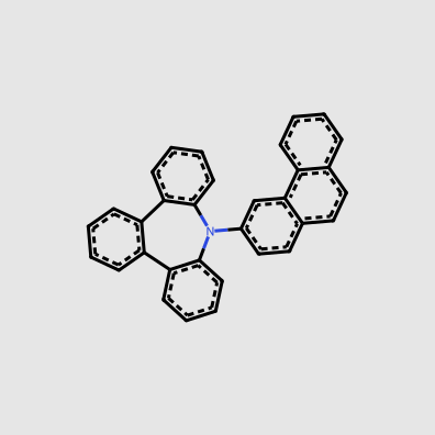 c1ccc2c(c1)-c1ccccc1N(c1ccc3ccc4ccccc4c3c1)c1ccccc1-2